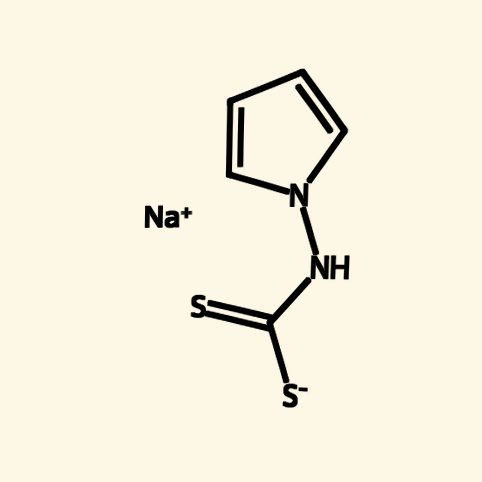 S=C([S-])Nn1cccc1.[Na+]